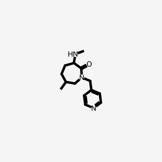 CNC1CCC(C)CN(Cc2ccncc2)C1=O